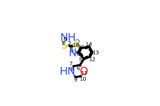 NSc1nc2c(C3CNCCO3)cccc2s1